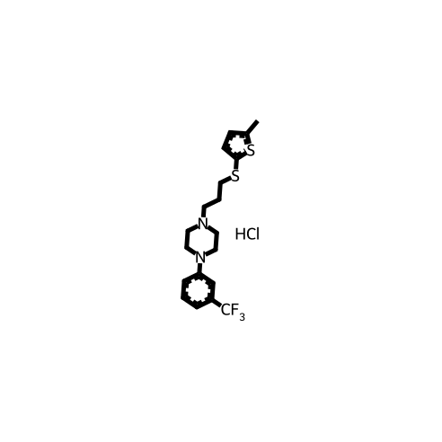 Cc1ccc(SCCCN2CCN(c3cccc(C(F)(F)F)c3)CC2)s1.Cl